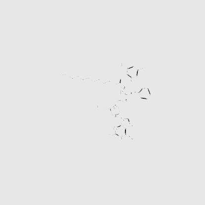 CCCCCCCCCCCCCCCCCCOC(=O)[C@H](Cc1cc(F)cc(F)c1)NP(=O)(OC[C@@]1(C)O[C@@H](n2cnc3c(N)nc(F)nc32)C[C@@H]1O)Oc1ccccc1